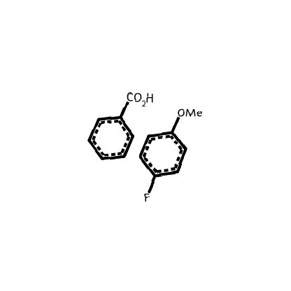 COc1ccc(F)cc1.O=C(O)c1ccccc1